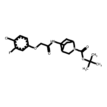 CC(C)(C)OC(=O)N1CC2CCC1CC2NC(=O)COc1ccc(Cl)c(F)c1